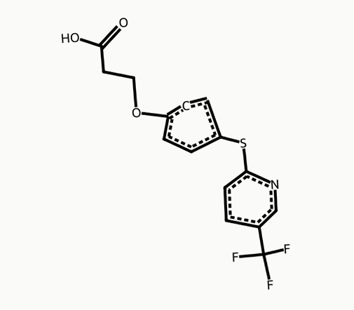 O=C(O)CCOc1ccc(Sc2ccc(C(F)(F)F)cn2)cc1